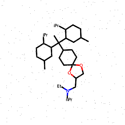 CCCN(CC)CC1COC2(CCC(C(C)(C3CC(C)CCC3C(C)C)C3CC(C)CCC3C(C)C)CC2)O1